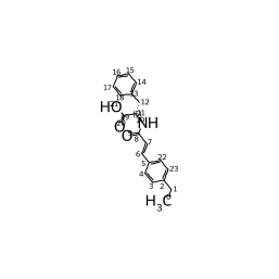 CCc1ccc(C=CC(=O)N[C@@H](Cc2ccccc2)C(=O)O)cc1